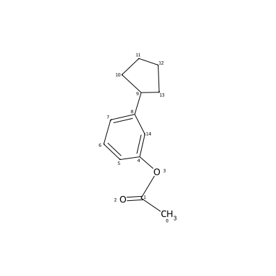 CC(=O)Oc1cccc(C2CCCC2)c1